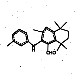 Cc1cccc(Nc2c(C)cc3c(c2C=O)C(C)(C)CCC3(C)C)c1